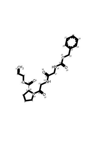 C=CCOC(=O)[C@H]1CCCN1C(=O)CNC(=O)CNC(=O)OCc1ccccc1